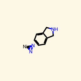 [N]1=[Ni]=[N]1.c1ccc2c(c1)CNC2